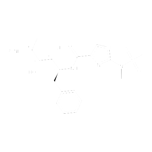 CC(=O)N[C@H](C)[C@@H](O)[C@H](O)[C@H](Cc1ccccc1)NC(=O)c1coc(N(C)S(C)(=O)=O)n1